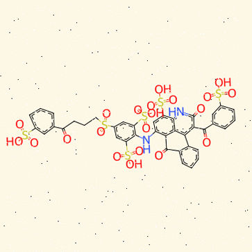 O=C(CCCS(=O)(=O)c1cc(S(=O)(=O)O)c(Nc2cc(S(=O)(=O)O)c3[nH]c(=O)c(C(=O)c4cccc(S(=O)(=O)O)c4)c4c3c2C(=O)c2ccccc2-4)c(S(=O)(=O)O)c1)c1cccc(S(=O)(=O)O)c1